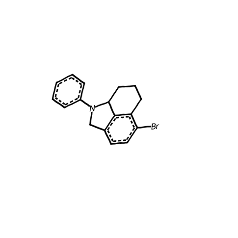 Brc1ccc2c3c1CCCC3N(c1ccccc1)C2